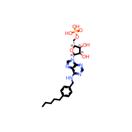 CCCCCc1ccc(CNc2ncnc3c2ncn3[C@@H]2O[C@H](COP(=O)(O)O)[C@@H](O)[C@H]2O)cc1